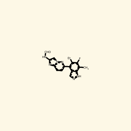 CCc1c(F)c(C)c2[nH]ncc2c1-c1ccc2nc(NC=O)cn2n1